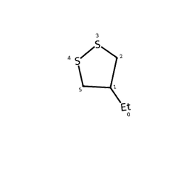 CCC1CSSC1